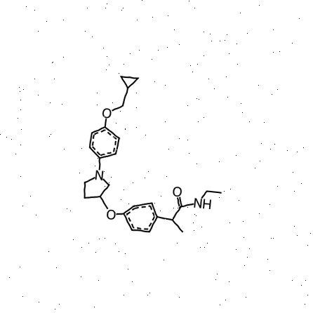 CCNC(=O)C(C)c1ccc(OC2CCN(c3ccc(OCC4CC4)cc3)C2)cc1